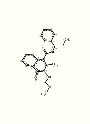 CCCNn1c(C)c(C(=O)N[C@@H](CC)c2ccccc2)c2ccccc2c1=O